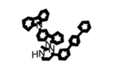 CC1(n2c3ccccc3c3cc(-n4c5ccccc5c5ccccc54)ccc32)N=C(c2cccc(-c3ccc(-c4ccccc4)cc3)c2)C=CN1